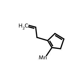 C=CCC1=[C]([Mn])CC=C1